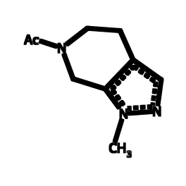 CC(=O)N1CCc2cnn(C)c2C1